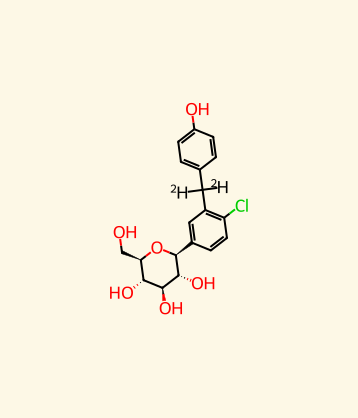 [2H]C([2H])(c1ccc(O)cc1)c1cc([C@@H]2O[C@H](CO)[C@@H](O)[C@H](O)[C@H]2O)ccc1Cl